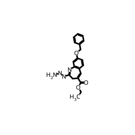 CCOC(=O)C1=Cc2ccc(OCc3ccccc3)cc2N=C(N=NN)C1